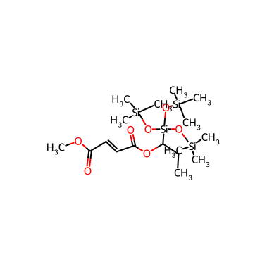 CCC(OC(=O)C=CC(=O)OC)[Si](O[Si](C)(C)C)(O[Si](C)(C)C)O[Si](C)(C)C